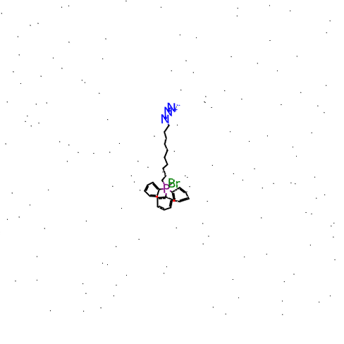 [N-]=[N+]=NCCCCCCCCCCP(Br)(c1ccccc1)(c1ccccc1)c1ccccc1